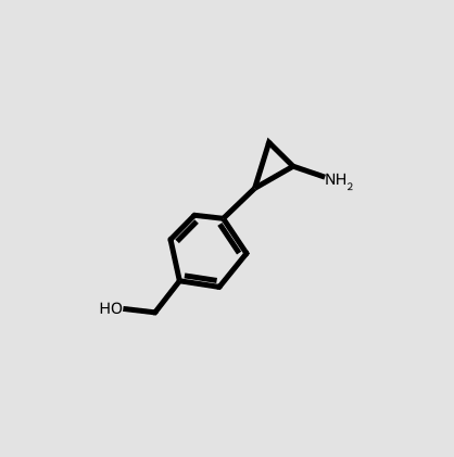 NC1CC1c1ccc(CO)cc1